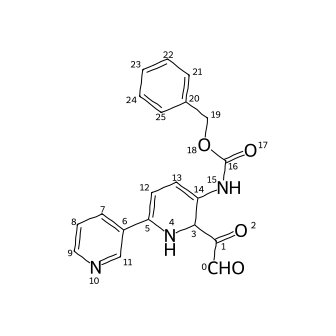 O=CC(=O)C1NC(c2cccnc2)=CC=C1NC(=O)OCc1ccccc1